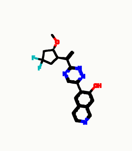 C=C(c1ncc(-c2cc3ccncc3cc2O)nn1)[C@H]1CC(F)(F)C[C@@H]1OC